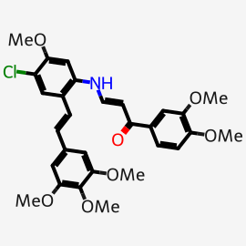 COc1cc(NC=CC(=O)c2ccc(OC)c(OC)c2)c(C=Cc2cc(OC)c(OC)c(OC)c2)cc1Cl